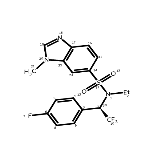 CCN([C@H](c1ccc(F)cc1)C(F)(F)F)S(=O)(=O)c1ccc2ncn(C)c2c1